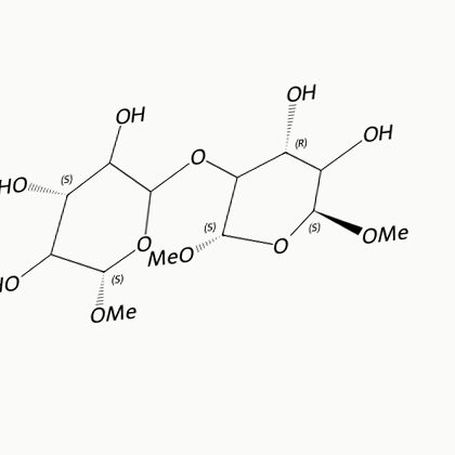 CO[C@H]1OC(OC2[C@@H](OC)O[C@H](OC)C(O)[C@H]2O)C(O)[C@@H](O)C1O